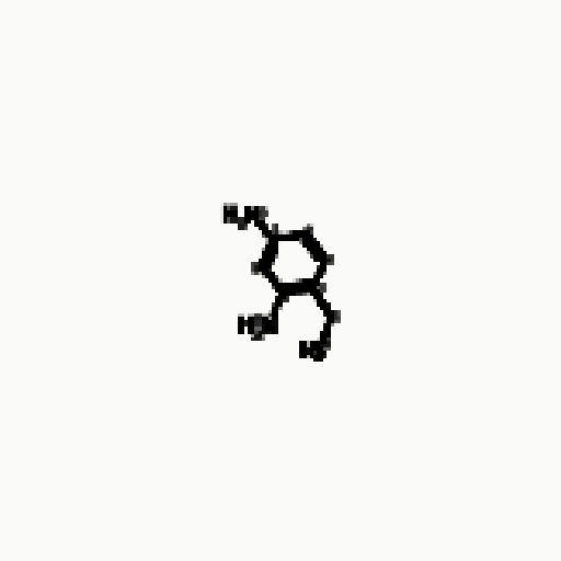 Nc1ccc(CS)c(N)c1